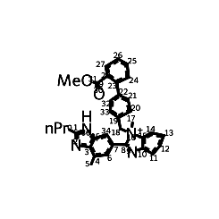 CCCc1nc2c(C)cc(C3=Nc4ccccc4[N+]3(C)Cc3ccc(-c4ccccc4C(=O)OC)cc3)cc2[nH]1